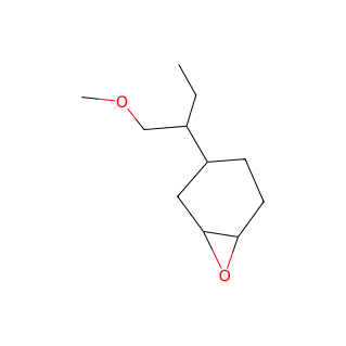 CCC(COC)C1CCC2OC2C1